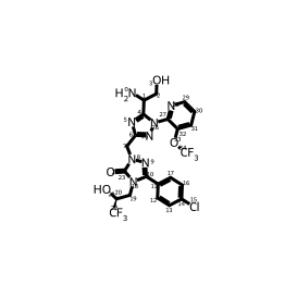 NC(CO)c1nc(Cn2nc(-c3ccc(Cl)cc3)n(C[C@H](O)C(F)(F)F)c2=O)nn1-c1ncccc1OC(F)(F)F